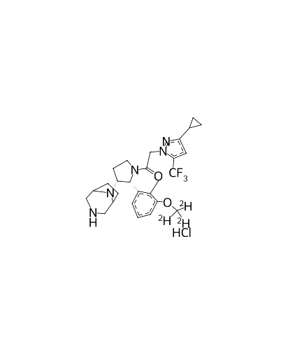 Cl.[2H]C([2H])([2H])Oc1cccc([C@@H]2[C@H](N3C4CCC3CNC4)CCN2C(=O)Cn2nc(C3CC3)cc2C(F)(F)F)c1C